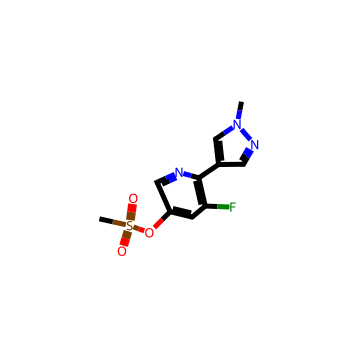 Cn1cc(-c2ncc(OS(C)(=O)=O)cc2F)cn1